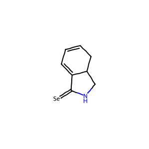 [Se]=C1NCC2CC=CC=C12